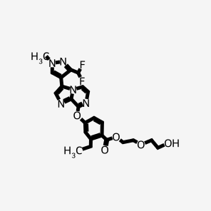 CCc1cc(Oc2nccn3c(-c4cn(C)nc4C(F)F)cnc23)ccc1C(=O)OCCOCCO